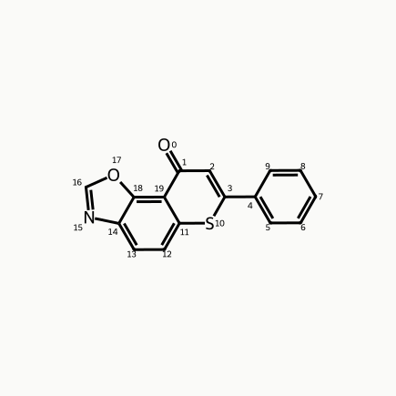 O=c1cc(-c2ccccc2)sc2ccc3ncoc3c12